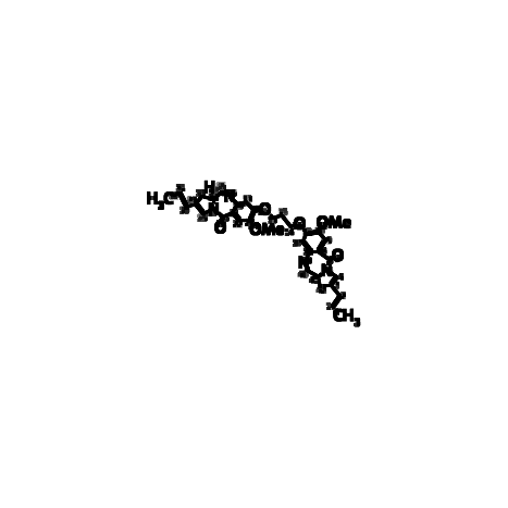 C/C=C/C1=CN2C(=O)c3cc(OC)c(OCCCOc4cc5c(cc4OC)C(=O)N4C=C(/C=C/C)C[C@H]4C=N5)cc3N=CC2C1